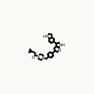 O=C(CC1CC1)N1CCN(Cc2ccc(-c3cnc4[nH]cc(-c5ccc6c(c5)CCN6)c4c3)cc2)CC1